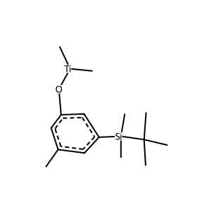 Cc1cc([O][Ti]([CH3])[CH3])cc([Si](C)(C)C(C)(C)C)c1